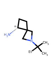 CCC(C)(C)N1CC2(CC[C@H]2N)C1